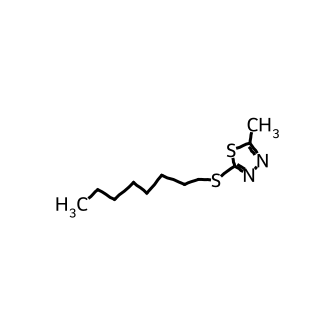 CCCCCCCCSc1nnc(C)s1